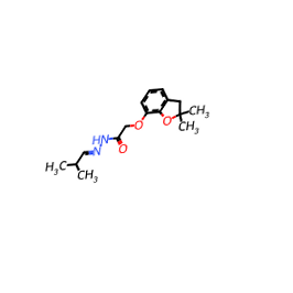 CC(C)/C=N/NC(=O)COc1cccc2c1OC(C)(C)C2